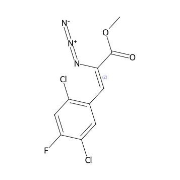 COC(=O)/C(=C/c1cc(Cl)c(F)cc1Cl)N=[N+]=[N-]